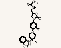 CC(=S)NCC1CN(c2ccc(N3CCC(C#N)(Nc4ccccc4C#N)CC3)c(F)c2)C(=O)O1